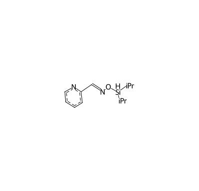 CC(C)[SiH](ON=Cc1ccccn1)C(C)C